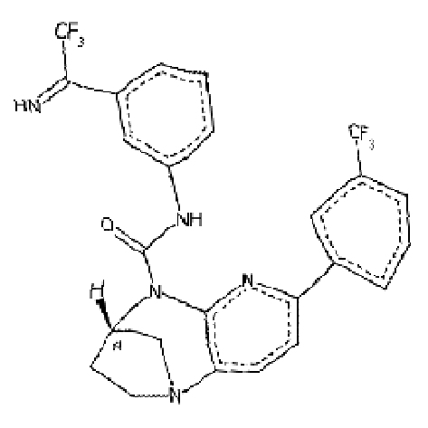 N=C(c1cccc(NC(=O)N2c3nc(-c4cccc(C(F)(F)F)c4)ccc3N3CC[C@H]2C3)c1)C(F)(F)F